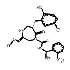 CCC[C@@H](NC(=O)N1C/C(=N/OCC)NC[C@H](Cc2cc(Cl)ccc2OC)C1=O)c1ccccc1C(=O)O